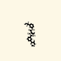 CCC(F)(F)c1cccc(NC(=O)c2c(C)[nH]c(-c3cccc(-c4ncncc4C)c3)[n+]2[O-])c1